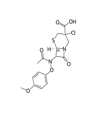 COc1ccc(ON(C(C)=O)C2C(=O)N3CC(Cl)(C(=O)O)CS[C@H]23)cc1